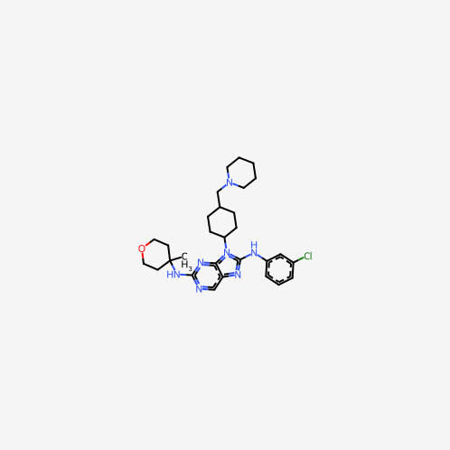 CC1(Nc2ncc3nc(Nc4cccc(Cl)c4)n(C4CCC(CN5CCCCC5)CC4)c3n2)CCOCC1